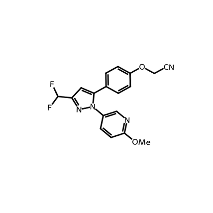 COc1ccc(-n2nc(C(F)F)cc2-c2ccc(OCC#N)cc2)cn1